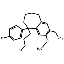 COc1cc2c(cc1OC)C(CCCCl)(c1ccc(F)cc1)SCCC2